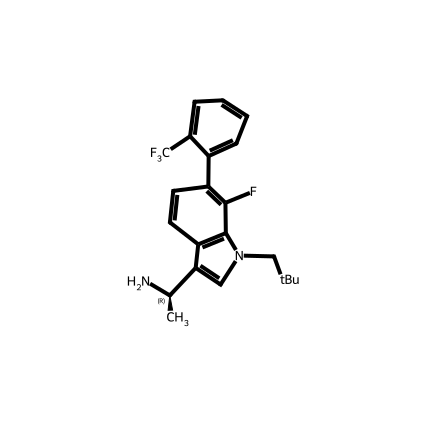 C[C@@H](N)c1cn(CC(C)(C)C)c2c(F)c(-c3ccccc3C(F)(F)F)ccc12